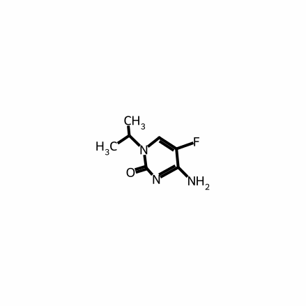 CC(C)n1cc(F)c(N)nc1=O